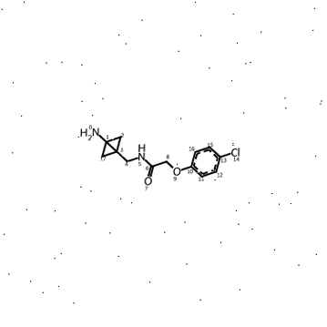 NC12CC1(CNC(=O)COc1ccc(Cl)cc1)C2